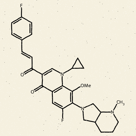 COc1c(N2CC3CCCN(C)C3C2)c(F)cc2c(=O)c(C(=O)C=Cc3ccc(F)cc3)cn(C3CC3)c12